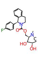 CN1CC[C@@H](O)[C@H](O)[C@H]1COC(=O)N1CCc2ccccc2[C@@H]1c1ccc(F)cc1